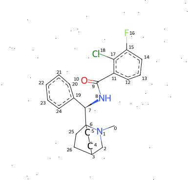 CN1CC2CCC1([C@H](NC(=O)c1cccc(F)c1Cl)c1ccccc1)CC2